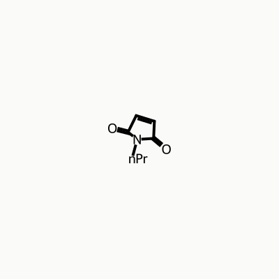 CCCN1C(=O)C=CC1=O